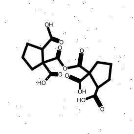 O=C(O)C1CCCC1(C(=O)O)C(=O)OC(=O)C1(C(=O)O)CCCC1C(=O)O